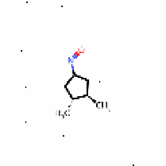 C[C@@H]1CC(N=O)C[C@H]1C